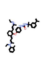 C=C(C)c1cccc(C(C)(C)NC(=O)Nc2ccc(OC3=C(/C=C/C(C)=N\CC)CCC/C3=C\C=C(/C)N(CC)c3ccccc3C)cc2)c1